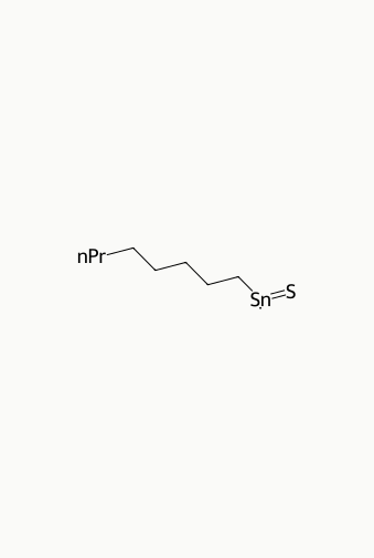 CCCCCCC[CH2][Sn]=[S]